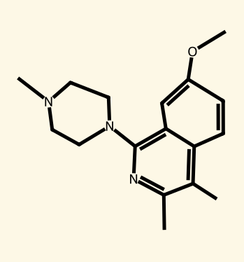 COc1ccc2c(C)c(C)nc(N3CCN(C)CC3)c2c1